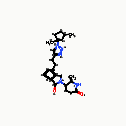 C=C1NC(=O)CCC1N1Cc2c(CCc3cn(C4(C)CCC(C)C4)nn3)cccc2C1=O